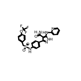 NC(=O)c1c(-c2ccc(NS(=O)(=O)Cc3ccc(OC(F)(F)F)cc3)cc2)n[nH]c1Nc1ccccn1